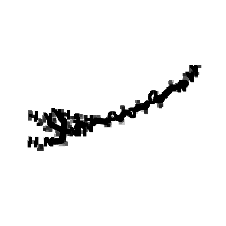 [N-]=[N+]=NCCOCCOCCOCCNC(=S)NC(CN)(CN)CN